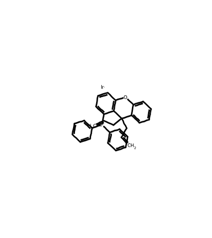 C=CCC1(CC=C)c2ccccc2Oc2cccc(P(c3ccccc3)c3ccccc3)c21.[Ir]